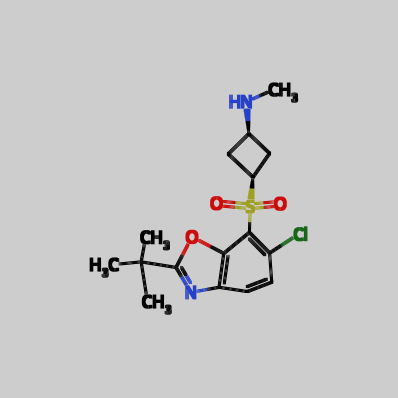 CN[C@H]1C[C@@H](S(=O)(=O)c2c(Cl)ccc3nc(C(C)(C)C)oc23)C1